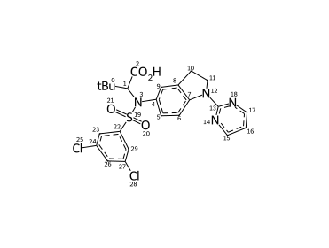 CC(C)(C)C(C(=O)O)N(c1ccc2c(c1)CCN2c1ncccn1)S(=O)(=O)c1cc(Cl)cc(Cl)c1